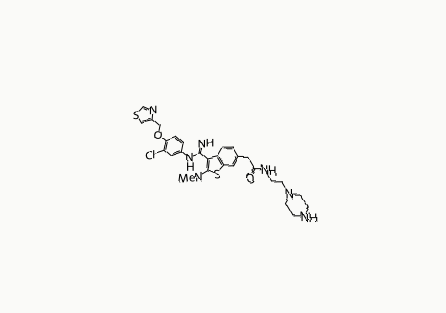 CNc1sc2cc(CC(=O)NCCN3CCNCC3)ccc2c1C(=N)Nc1ccc(OCc2cscn2)c(Cl)c1